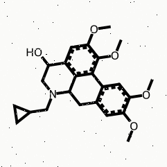 COc1cc2c(cc1OC)-c1c(OC)c(OC)cc3c1C(C2)N(CC1CC1)CC3O